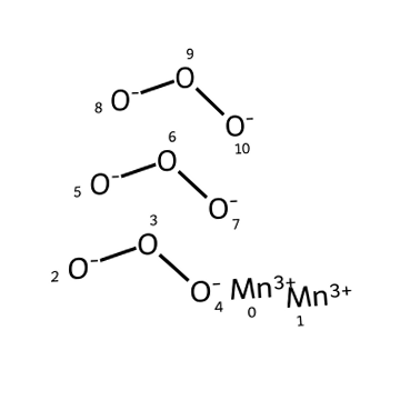 [Mn+3].[Mn+3].[O-]O[O-].[O-]O[O-].[O-]O[O-]